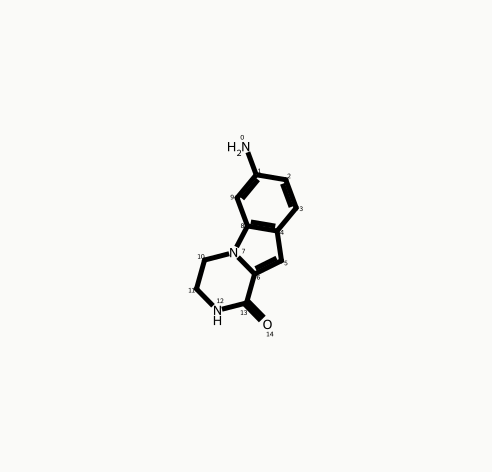 Nc1ccc2cc3n(c2c1)CCNC3=O